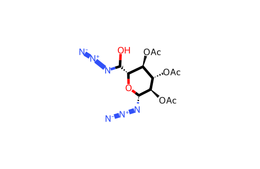 CC(=O)O[C@@H]1[C@@H](OC(C)=O)[C@H](N=[N+]=[N-])O[C@H]([C](O)N=[N+]=[N-])[C@H]1OC(C)=O